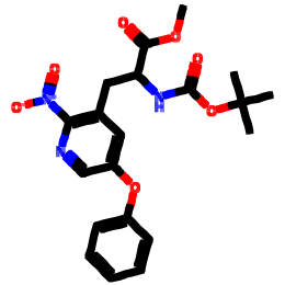 COC(=O)C(Cc1cc(Oc2ccccc2)cnc1[N+](=O)[O-])NC(=O)OC(C)(C)C